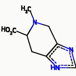 CN1Cc2nc[nH]c2CC1C(=O)O